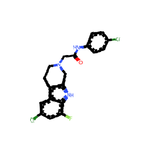 O=C(CN1CCc2c([nH]c3c(F)cc(Cl)cc23)C1)Nc1ccc(Cl)cc1